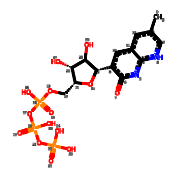 Cc1c[nH]c2nc(=O)c([C@@H]3O[C@H](COP(=O)(O)OP(=O)(O)OP(=O)(O)O)[C@H](O)C3O)cc-2c1